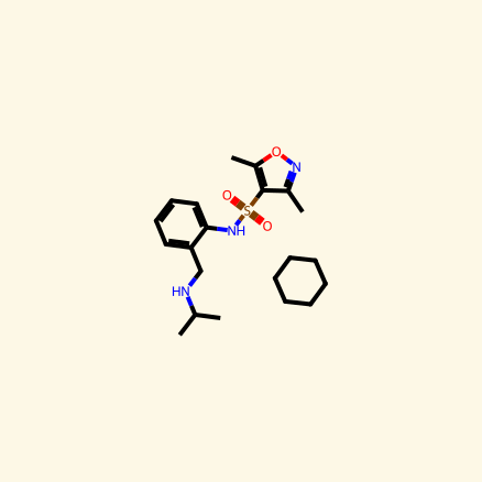 C1CCCCC1.Cc1noc(C)c1S(=O)(=O)Nc1ccccc1CNC(C)C